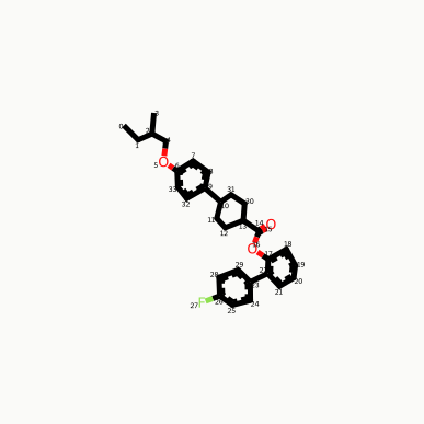 CCC(C)COc1ccc(C2CCC(C(=O)Oc3ccccc3-c3ccc(F)cc3)CC2)cc1